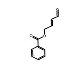 O=CC=CCOC(=O)c1ccccc1